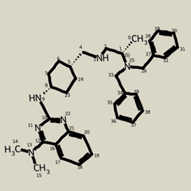 C[C@@H](CNC[C@H]1CC[C@@H](Nc2nc(N(C)C)c3ccccc3n2)CC1)N(Cc1ccccc1)Cc1ccccc1